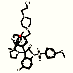 COc1ccc(S(=O)(=O)N2C(=O)C(c3cc(CN4CCN(CCO)CC4)ccc3OC)(N3CCCC3c3ncc(C)o3)c3cc(Cl)ccc32)cc1